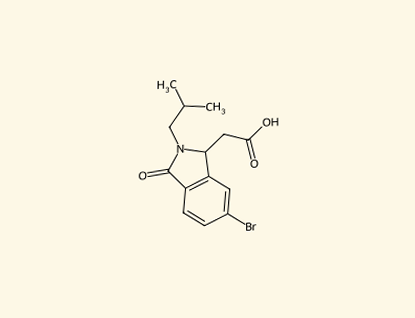 CC(C)CN1C(=O)c2ccc(Br)cc2C1CC(=O)O